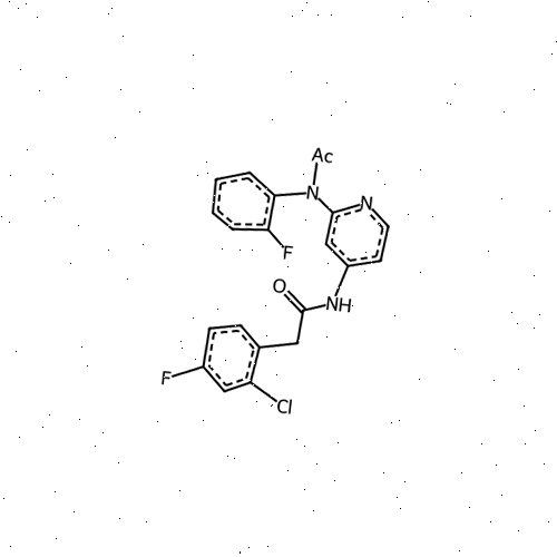 CC(=O)N(c1cc(NC(=O)Cc2ccc(F)cc2Cl)ccn1)c1ccccc1F